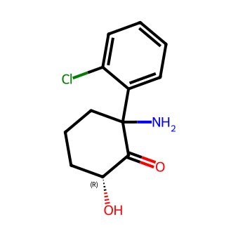 NC1(c2ccccc2Cl)CCC[C@@H](O)C1=O